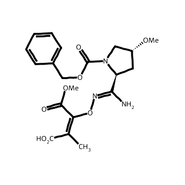 COC(=O)C(ON=C(N)[C@@H]1C[C@@H](OC)CN1C(=O)OCc1ccccc1)=C(C)C(=O)O